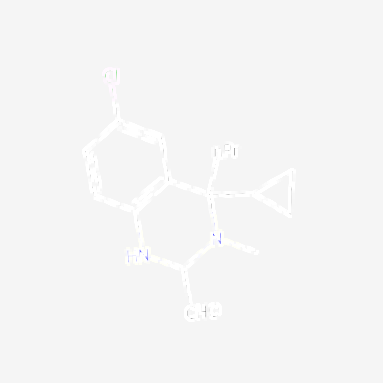 CCCC1(C2CC2)c2cc(Cl)ccc2NC(C=O)N1C